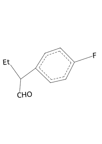 [CH2]CC(C=O)c1ccc(F)cc1